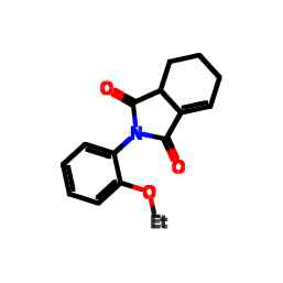 CCOc1ccccc1N1C(=O)C2=CCCCC2C1=O